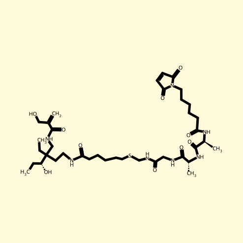 C=C(CO)C(=O)NCC(CC)(CCNC(=O)CCCCCSCNC(=O)CNC(=O)[C@@H](C)NC(=O)[C@H](C)NC(=O)CCCCCN1C(=O)C=CC1=O)[C@H](O)CC